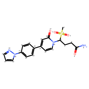 CS(=O)(=O)C(CCC(N)=O)n1ccc(-c2ccc(-n3cccn3)cc2)cc1=O